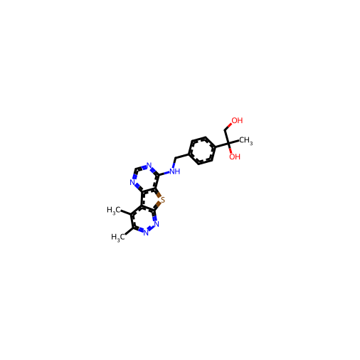 Cc1nnc2sc3c(NCc4ccc(C(C)(O)CO)cc4)ncnc3c2c1C